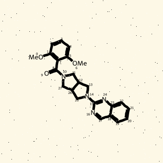 COc1cccc(OC)c1C(=O)N1CC2CN(c3ncc4ccccc4n3)CC2C1